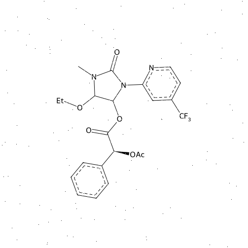 CCOC1C(OC(=O)[C@@H](OC(C)=O)c2ccccc2)N(c2cc(C(F)(F)F)ccn2)C(=O)N1C